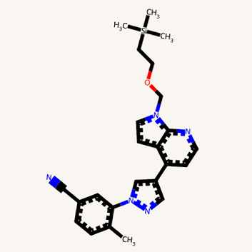 Cc1ccc(C#N)cc1-n1cc(-c2ccnc3c2ccn3COCC[Si](C)(C)C)cn1